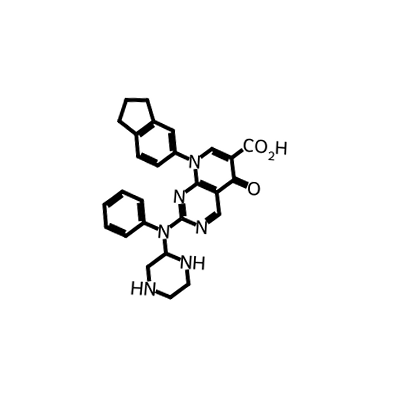 O=C(O)c1cn(-c2ccc3c(c2)CCC3)c2nc(N(c3ccccc3)C3CNCCN3)ncc2c1=O